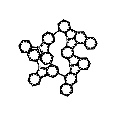 c1ccc(-n2c3ccccc3c3cc(-c4c5ccccc5cc5c6cccc7c8c9c%10c%11ccccc%11cc%11c%12cccc(-c%13ccc%14c(c%13)c%13ccccc%13n%14-c%13ccccc%13)c%12n(c9ccc8n(c45)c67)c%11%10)ccc32)cc1